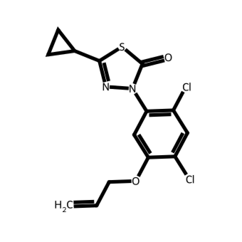 C=CCOc1cc(-n2nc(C3CC3)sc2=O)c(Cl)cc1Cl